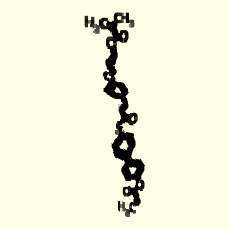 C=CC(=O)Oc1ccc(-c2ccc(SC(=O)/C=C/c3ccc(OCCCOC(=O)C(=C)C)cc3)cc2)cc1